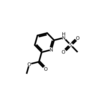 COC(=O)c1cccc(NS(C)(=O)=O)n1